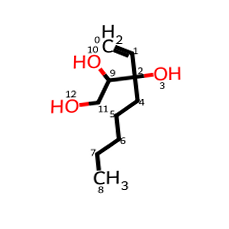 C=CC(O)(CCCCC)C(O)CO